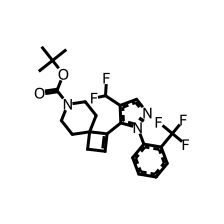 CC(C)(C)OC(=O)N1CCC2(CC=C2c2c(C(F)F)cnn2-c2ccccc2C(F)(F)F)CC1